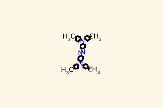 Cc1ccc(N(c2ccc(C)cc2)c2ccc(N=Nc3ccc(N(c4ccc(C)cc4)c4ccc(C)cc4)cc3)cc2)cc1